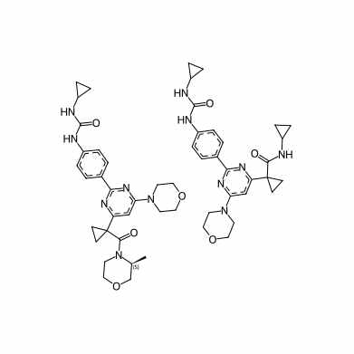 C[C@H]1COCCN1C(=O)C1(c2cc(N3CCOCC3)nc(-c3ccc(NC(=O)NC4CC4)cc3)n2)CC1.O=C(Nc1ccc(-c2nc(N3CCOCC3)cc(C3(C(=O)NC4CC4)CC3)n2)cc1)NC1CC1